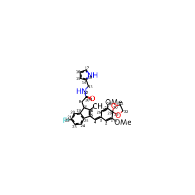 COC1=CC(=CC2=C(C)C(CC(=O)NCc3ccc[nH]3)c3cc(F)ccc32)C=C(OC)C12OCCO2